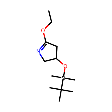 CCOC1=NCC(O[Si](C)(C)C(C)(C)C)C1